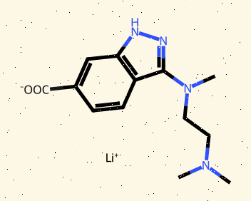 CN(C)CCN(C)c1n[nH]c2cc(C(=O)[O-])ccc12.[Li+]